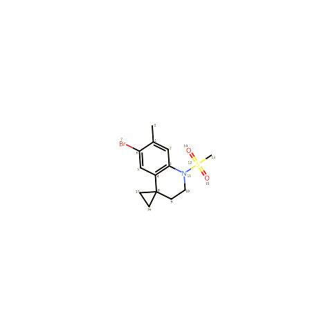 Cc1cc2c(cc1Br)C1(CCN2S(C)(=O)=O)CC1